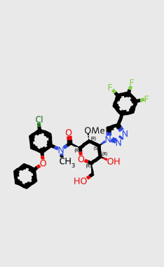 CO[C@@H]1[C@@H](n2cc(-c3cc(F)c(F)c(F)c3)nn2)[C@@H](O)[C@@H](CO)O[C@H]1C(=O)N(C)c1cc(Cl)ccc1Oc1ccccc1